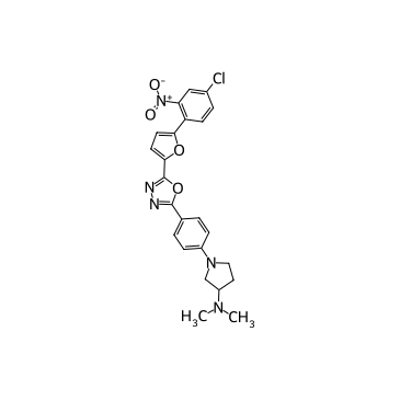 CN(C)C1CCN(c2ccc(-c3nnc(-c4ccc(-c5ccc(Cl)cc5[N+](=O)[O-])o4)o3)cc2)C1